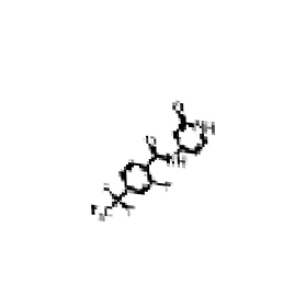 O=C(Nc1cc[nH]c(=O)c1)c1ccc(C(F)(F)C(F)(F)F)cc1F